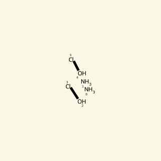 N.N.OCl.OCl